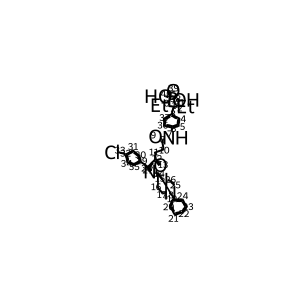 CCC(CC)(c1ccc(NC(=O)CCc2oc(N3CCN(c4ccccc4)CC3)nc2-c2ccc(Cl)cc2)cc1)P(=O)(O)O